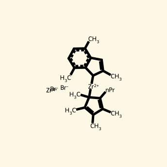 CCCC1=C(C)C(C)=C(C)[C]1(C)[Zr+2][CH]1C(C)=Cc2c(C)ccc(C)c21.[Br-].[Br-].[Zr+4]